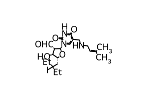 CCC(I)(CC)C[C@H]1OC(n2cc(CNCC=C(C)C)c(=O)[nH]c2=O)[C@H](C=O)[C@@H]1O